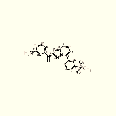 CS(=O)(=O)c1cccc(-c2cccc3nc(Nc4cccc(N)n4)nn23)c1